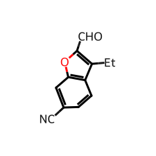 CCc1c(C=O)oc2cc(C#N)ccc12